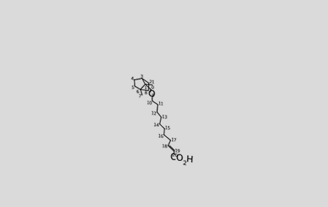 CC1(C)C2CCC1(C)C(OCCCCCCCCC=CC(=O)O)C2